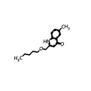 CCCCCOCc1cc(=O)c2cc(C)ccc2[nH]1